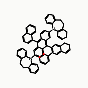 C1=CC2=C(CC1)CCc1ccccc1N2c1ccc2c(-c3cccc4ccccc34)c3cc(N4c5ccccc5CCc5ccccc54)ccc3c(-c3cc4c(cc3-c3ccccc3)C=CCC4)c2c1